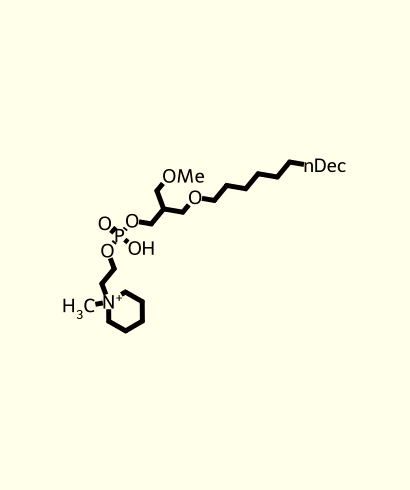 CCCCCCCCCCCCCCCCOCC(COC)COP(=O)(O)OCC[N+]1(C)CCCCC1